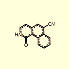 N#Cc1cc2cc[nH]c(=O)c2c2ccccc12